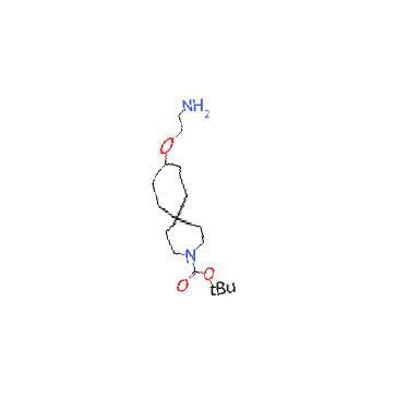 CC(C)(C)OC(=O)N1CCC2(CCC(OCCN)CC2)CC1